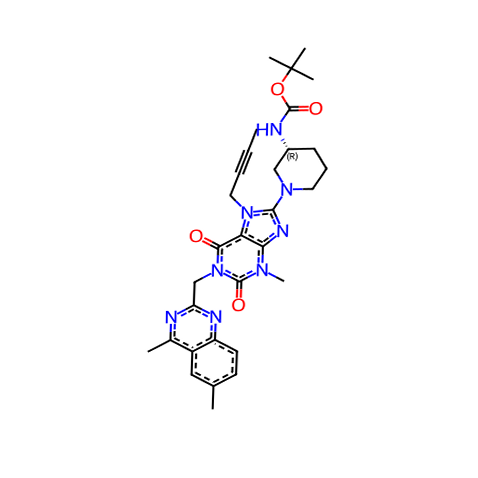 CC#CCn1c(N2CCC[C@@H](NC(=O)OC(C)(C)C)C2)nc2c1c(=O)n(Cc1nc(C)c3cc(C)ccc3n1)c(=O)n2C